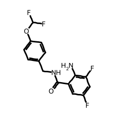 Nc1c(F)cc(F)cc1C(=O)NCc1ccc(OC(F)F)cc1